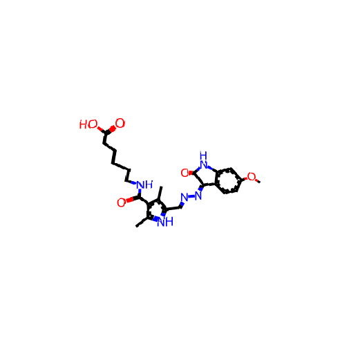 COc1ccc2c(c1)NC(=O)/C2=N\N=C\c1[nH]c(C)c(C(=O)NCCCCCC(=O)O)c1C